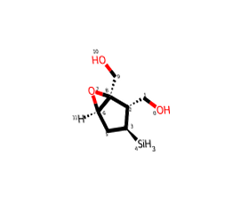 OC[C@@H]1[C@@H]([SiH3])C[C@H]2O[C@@]12CO